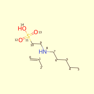 C=CC.CCCCCNCCS(=O)(=O)O